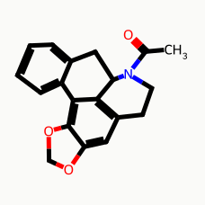 CC(=O)N1CCc2cc3c(c4c2C1Cc1ccccc1-4)OCO3